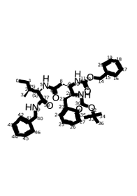 CC[C@H](C)[C@H](NC(=O)C[C@H](NC(=O)OCc1ccccc1)[C@H](Cc1ccccc1)NC(=O)OC(C)(C)C)C(=O)NCc1ccccc1